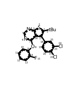 CC(C)(C)c1sc2ncnc(Oc3ccccc3F)c2c1-c1ccc(Cl)c(Cl)c1